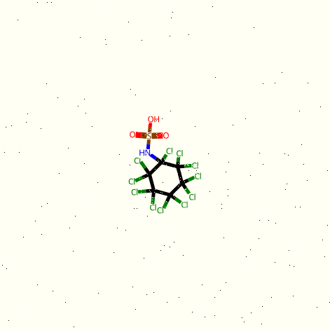 O=S(=O)(O)NC1(Cl)C(Cl)(Cl)C(Cl)(Cl)C(Cl)(Cl)C(Cl)(Cl)C1(Cl)Cl